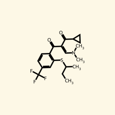 CCC(C)Sc1cc(C(F)(F)F)ccc1C(=O)C(=CN(C)C)C(=O)C1CC1